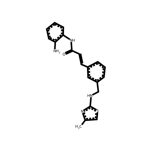 Cc1csc(NCc2cccc(/C=C/C(=O)Nc3ccccc3N)c2)n1